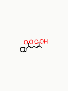 COC(=O)C(=CCC=C(C)C(=O)O)C1CC2CCC1C2